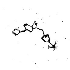 FC(F)(F)c1ccc(CCn2cnc3ccc(C=C4C=NCS4)cc32)cc1